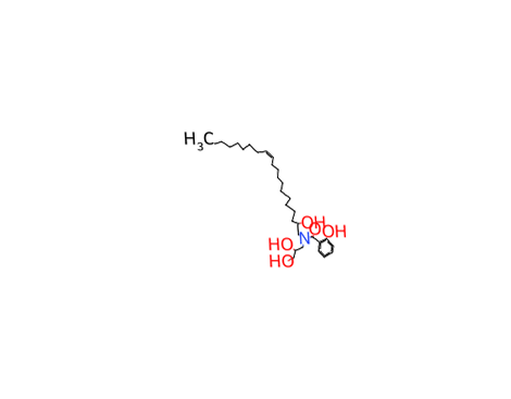 CCCCCCCC/C=C\CCCCCCCCCC(O)CN(CC(O)CO)C(=O)c1ccccc1O